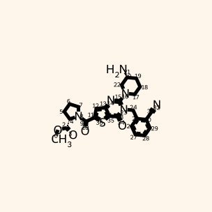 COC(=O)[C@@H]1CCCN1C(=O)c1cc2nc(N3CCC[C@@H](N)C3)n(Cc3ccccc3C#N)c(=O)c2s1